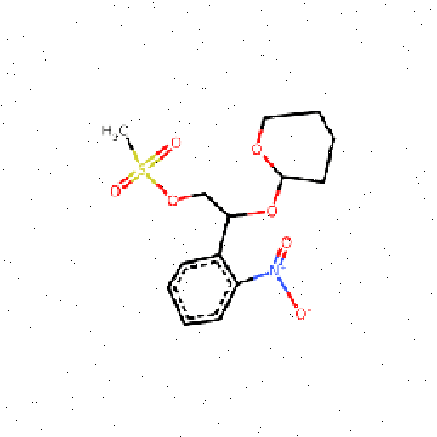 CS(=O)(=O)OCC(OC1CCCCO1)c1ccccc1[N+](=O)[O-]